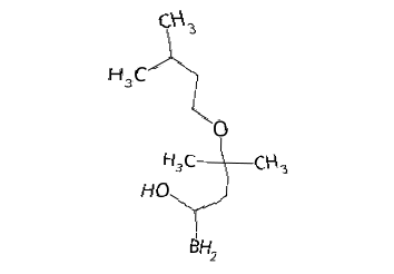 BC(O)CC(C)(C)OCCC(C)C